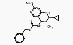 COc1cc2c(cn1)[C@H](NC(=O)OCc1ccccc1)[C@@H](C)[C@H](C1CC1)N2